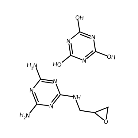 Nc1nc(N)nc(NCC2CO2)n1.Oc1nc(O)nc(O)n1